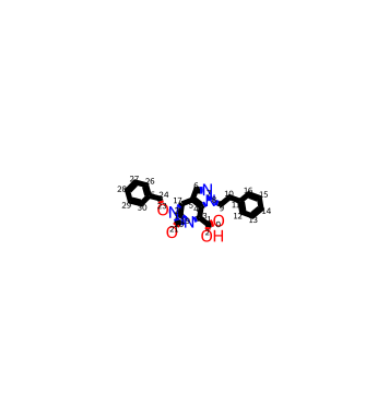 O=C(O)C1c2c(cnn2CCc2ccccc2)C2CN1C(=O)N2OCc1ccccc1